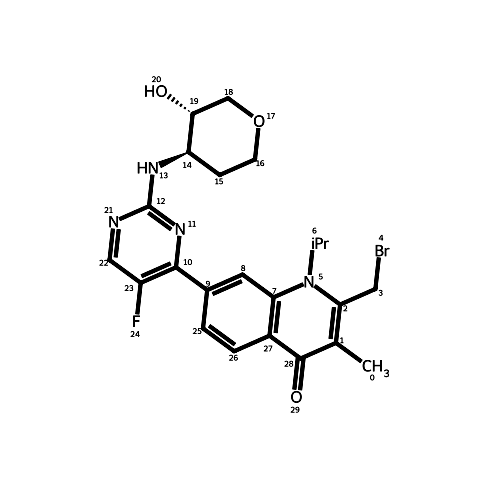 Cc1c(CBr)n(C(C)C)c2cc(-c3nc(N[C@@H]4CCOC[C@H]4O)ncc3F)ccc2c1=O